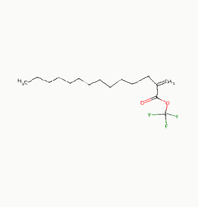 C=C(CCCCCCCCCCCC)C(=O)OC(F)(F)F